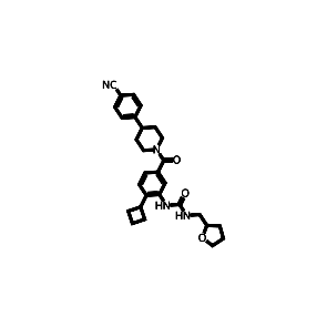 N#Cc1ccc(C2CCN(C(=O)c3ccc(C4CCC4)c(NC(=O)NCC4CCCO4)c3)CC2)cc1